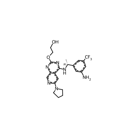 C[C@@H](Nc1nc(OCCO)nc2cnc(N3CCCC3)cc12)c1cc(N)cc(C(F)(F)F)c1